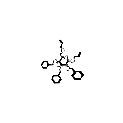 C=CCOC[C@H]1O[C@H](OCC=C)[C@H](OCc2ccccc2)[C@@H](OCc2ccccc2)[C@H]1OCc1ccccc1